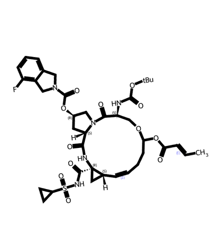 C/C=C/C(=O)OC1CC/C=C\[C@@H]2C[C@@]2(C(=O)NS(=O)(=O)C2CC2)NC(=O)[C@@H]2C[C@@H](OC(=O)N3Cc4cccc(F)c4C3)CN2C(=O)[C@@H](NC(=O)OC(C)(C)C)CO1